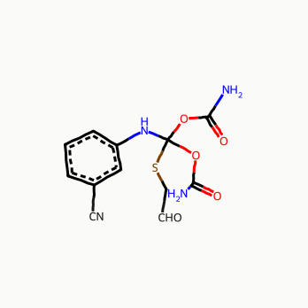 N#Cc1cccc(NC(OC(N)=O)(OC(N)=O)SCC=O)c1